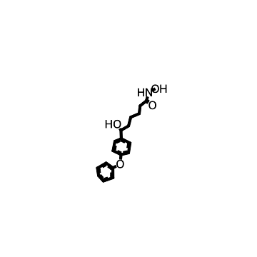 O=C(CCCCC(O)c1ccc(Oc2ccccc2)cc1)NO